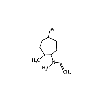 C=CN(C)C1CCC(C(C)C)CCC1C